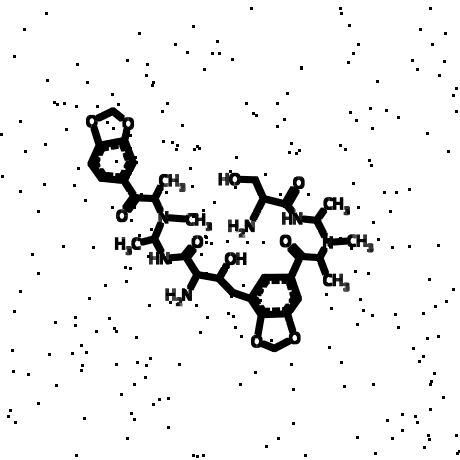 CC(NC(=O)C(N)CO)N(C)C(C)C(=O)c1cc(CC(O)C(N)C(=O)NC(C)N(C)C(C)C(=O)c2ccc3c(c2)OCO3)c2c(c1)OCO2